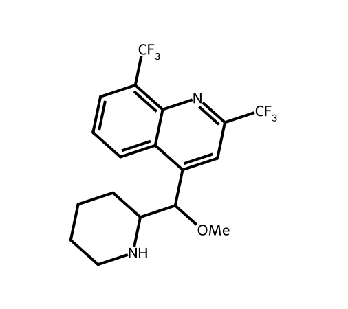 COC(c1cc(C(F)(F)F)nc2c(C(F)(F)F)cccc12)C1CCCCN1